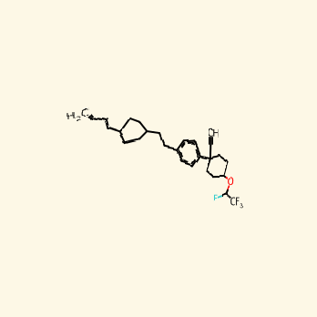 C#CC1(c2ccc(CCC3CCC(CCC=C)CC3)cc2)CCC(OC(F)C(F)(F)F)CC1